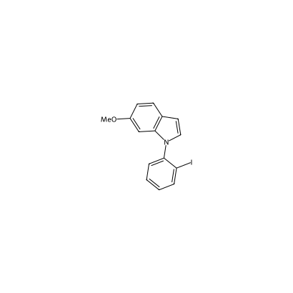 COc1ccc2ccn(-c3ccccc3I)c2c1